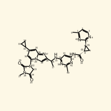 Cc1ccnc([C@H]2C[C@@H]2C(=O)Nc2cc(NC(C)c3cn4c(N5CC(=O)N(C)C5=O)cc(C5CC5)cc4n3)nc(C)n2)n1